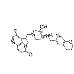 O=c1ccc2ncc(F)c3c2n1CC3CN1CC[C@H](NCc2cc3c(cn2)OCCC3)[C@H](O)C1